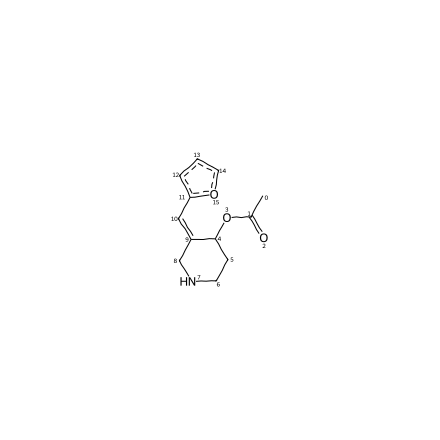 CC(=O)OC1CCNC/C1=C/c1ccco1